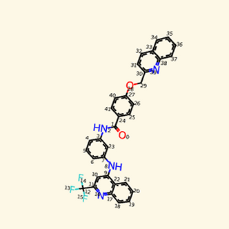 O=C(Nc1cccc(Nc2cc(C(F)(F)F)nc3ccccc23)c1)c1ccc(OCc2ccc3ccccc3n2)cc1